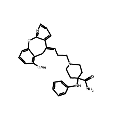 COc1cccc2c1CC(=CCCN1CCC(Nc3ccccc3)(C(N)=O)CC1)c1cccnc1O2